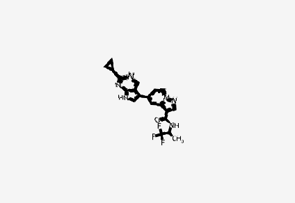 CC(NC(=O)c1cnn2ccc(-c3c[nH]c4nc(C5CC5)ncc34)cc12)C(F)(F)F